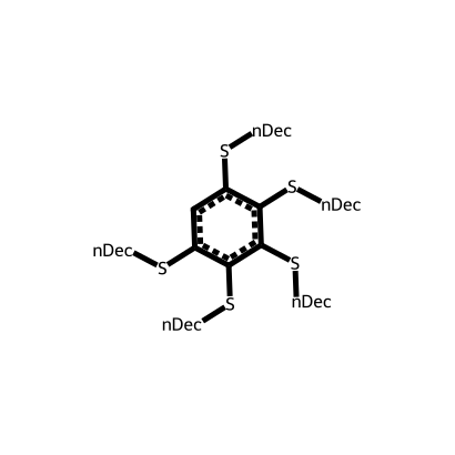 CCCCCCCCCCSc1cc(SCCCCCCCCCC)c(SCCCCCCCCCC)c(SCCCCCCCCCC)c1SCCCCCCCCCC